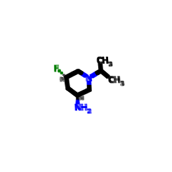 CC(C)N1C[C@@H](N)C[C@H](F)C1